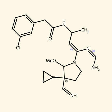 COC1N(C(=C/C(C)NC(=O)Cc2cccc(Cl)c2)/N=C\N)CC[C@@]1(C=N)C1CC1